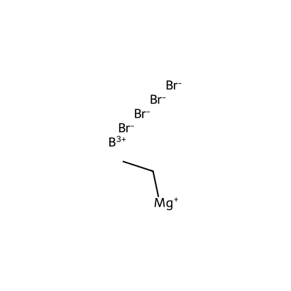 C[CH2][Mg+].[B+3].[Br-].[Br-].[Br-].[Br-]